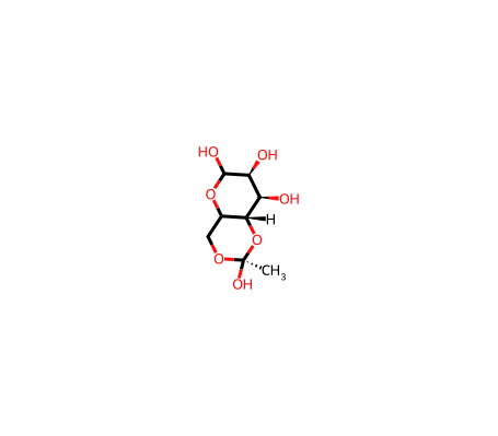 C[C@]1(O)OCC2OC(O)[C@@H](O)[C@@H](O)[C@@H]2O1